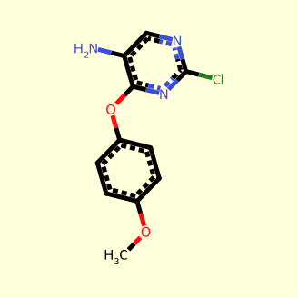 COc1ccc(Oc2nc(Cl)ncc2N)cc1